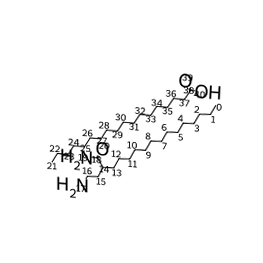 CCCCCCCCCCCCCCC(CCN)C(N)=O.CCCCCCCCCCCCCCCCCC(=O)O